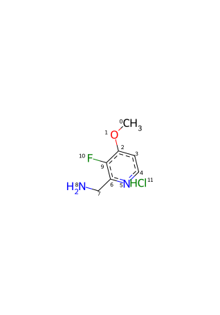 COc1ccnc(CN)c1F.Cl